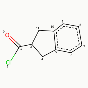 O=C(Cl)C1Cc2ccccc2C1